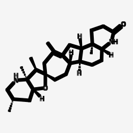 CC1=C2C[C@H]3[C@@H](CC[C@H]4NC(=O)CC[C@@]43C)[C@@H]2CC[C@@]2(C1)O[C@@H]1C[C@H](C)CN[C@@]1(C)[C@H]2C